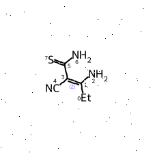 CC/C(N)=C(\C#N)C(N)=S